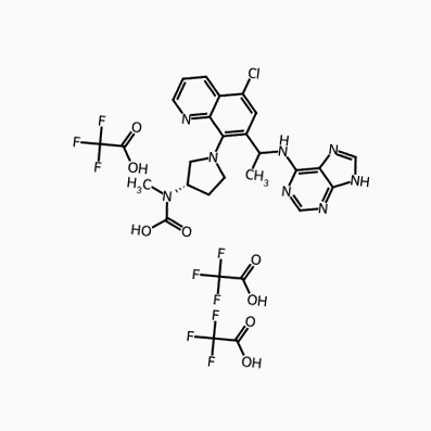 CC(Nc1ncnc2[nH]cnc12)c1cc(Cl)c2cccnc2c1N1CC[C@H](N(C)C(=O)O)C1.O=C(O)C(F)(F)F.O=C(O)C(F)(F)F.O=C(O)C(F)(F)F